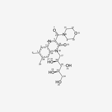 Cc1cc2nc(C(=O)N3CCOCC3)c(=O)n(C[C@H](O)[C@H](O)[C@H](O)CO)c2cc1C